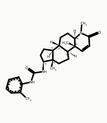 CN1C(=O)C=C[C@]2(C)[C@H]3CC[C@]4(C)[C@@H](NC(=O)Nc5ccccc5C(F)(F)F)CC[C@H]4[C@@H]3CC[C@@H]12